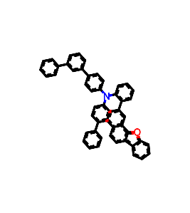 c1ccc(-c2ccc(N(c3ccc(-c4cccc(-c5ccccc5)c4)cc3)c3ccccc3-c3ccc4ccc5c6ccccc6oc5c4c3)cc2)cc1